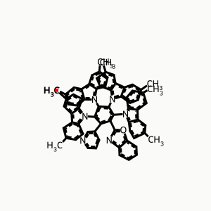 Cc1ccc2c(c1)c1cc(C)ccc1n2-c1c(-c2cccnc2)c(-c2nc3ccccc3o2)c(-n2c3ccc(C)cc3c3cc(C)ccc32)c(-n2c3ccc(C)cc3c3cc(C)ccc32)c1-n1c2ccc(C)cc2c2cc(C)ccc21